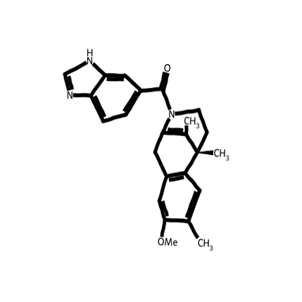 COc1cc2c(cc1C)[C@@]1(C)CCN(C(=O)c3ccc4nc[nH]c4c3)C(=C1C)C2